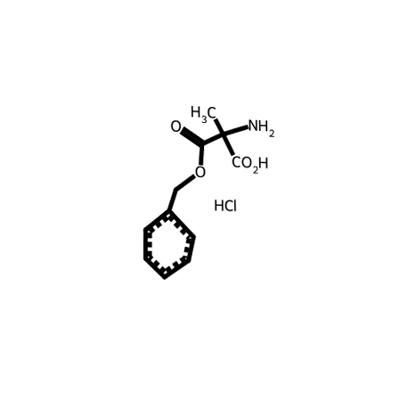 CC(N)(C(=O)O)C(=O)OCc1ccccc1.Cl